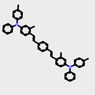 Cc1ccc(N(c2ccccc2)c2ccc(C=Cc3ccc(C=Cc4ccc(N(c5ccccc5)c5ccc(C)cc5)cc4C)cc3)c(C)c2)cc1